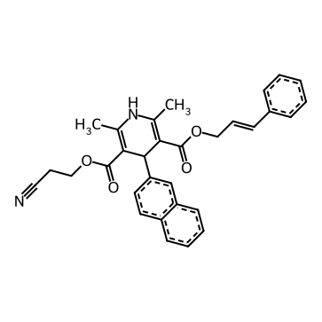 CC1=C(C(=O)OCC=Cc2ccccc2)C(c2ccc3ccccc3c2)C(C(=O)OCCC#N)=C(C)N1